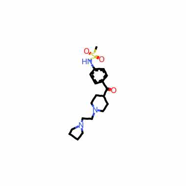 CS(=O)(=O)Nc1ccc(C(=O)C2CCN(CCN3CCCC3)CC2)cc1